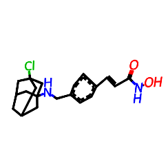 O=C(/C=C/c1ccc(CNC23CC4CC(CC(Cl)(C4)C2)C3)cc1)NO